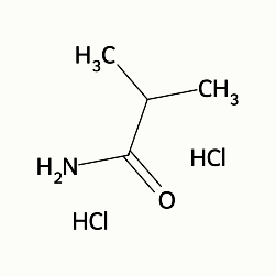 CC(C)C(N)=O.Cl.Cl